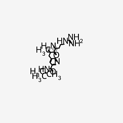 CC(Cc1cncc(C(=O)NC(C)(C)C)c1)C(=O)[C@@H](N)CCCNC(=N)N